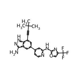 CC(C)(C)C#Cc1cc(-c2ccnc(Nc3nc(C(F)(F)F)co3)c2)cc2c(N)n[nH]c12